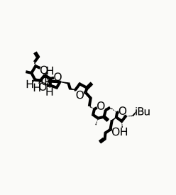 C=CCC(O)C[C@@H]1[C@@H](C)[C@@H](C[C@H](C)CC)O[C@H]1CC1O[C@@H](CCC2O[C@@H](CC[C@@]34C[C@H]5O[C@@H]6[C@@H](O[C@@H](CC=C)C(C)[C@@H]6O3)[C@H]5O4)CC2=C)C[C@@H](C)C1=C